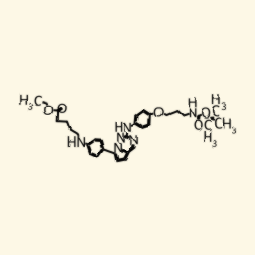 CCOC(=O)CCCCNc1ccc(-c2ccc3cnc(Nc4ccc(OCCCNC(=O)OC(C)(C)C)cc4)nn23)cc1